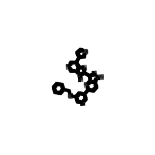 c1ccc(COc2cncc(-c3ccc4[nH]nc(-c5nc6c(-c7ccoc7)cncc6[nH]5)c4n3)c2)cc1